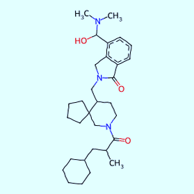 CC(CC1CCCCC1)C(=O)N1CCC(CN2Cc3c(cccc3C(O)N(C)C)C2=O)C2(CCCC2)C1